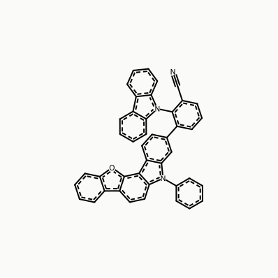 N#Cc1cccc(-c2ccc3c4c5oc6ccccc6c5ccc4n(-c4ccccc4)c3c2)c1-n1c2ccccc2c2ccccc21